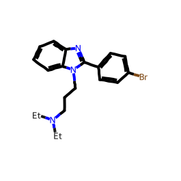 CCN(CC)CCCn1c(-c2ccc(Br)cc2)nc2ccccc21